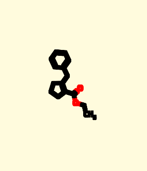 CCOC(=O)C1=C(Cc2ccccc2)CCC1